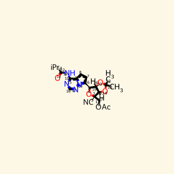 CC(=O)OC[C@@]1(C#N)O[C@@H](c2ccc3c(NC(=O)C(C)C)ncnn23)[C@@H]2OC(C)(C)O[C@@H]21